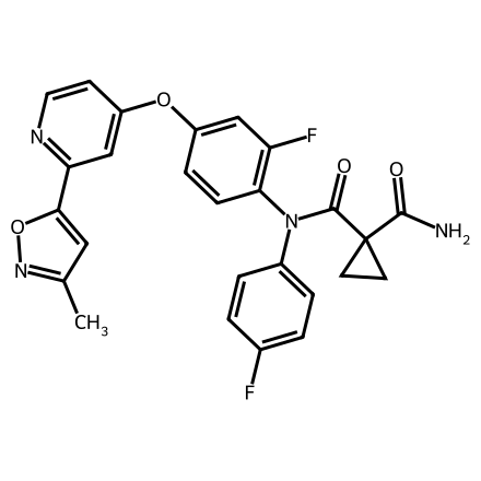 Cc1cc(-c2cc(Oc3ccc(N(C(=O)C4(C(N)=O)CC4)c4ccc(F)cc4)c(F)c3)ccn2)on1